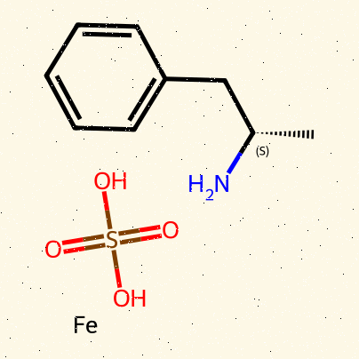 C[C@H](N)Cc1ccccc1.O=S(=O)(O)O.[Fe]